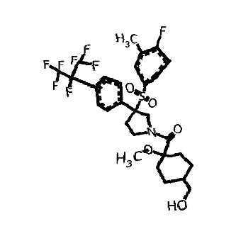 COC1(C(=O)N2CCC(c3ccc(C(F)(C(F)(F)F)C(F)(F)F)cc3)(S(=O)(=O)c3ccc(F)c(C)c3)C2)CCC(CO)CC1